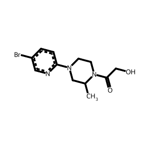 CC1CN(c2ccc(Br)cn2)CCN1C(=O)CO